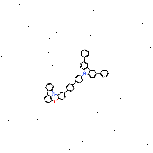 c1ccc(-c2ccc3c(c2)c2cc(-c4ccccc4)ccc2n3-c2ccc(-c3ccc(-c4ccc5c(c4)-n4c6ccccc6c6cccc(c64)O5)cc3)cc2)cc1